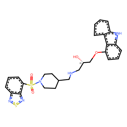 O=S(=O)(c1cccc2nsnc12)N1CCC(CNC[C@H](O)COc2cccc3[nH]c4ccccc4c23)CC1